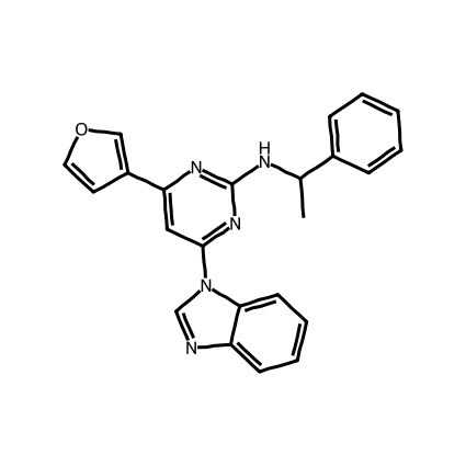 CC(Nc1nc(-c2ccoc2)cc(-n2cnc3ccccc32)n1)c1ccccc1